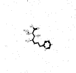 CN[C@H](C(=O)O)[C@H](O)[C@H](C)CCCc1ccccn1